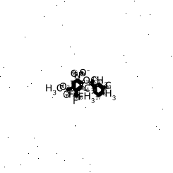 COC(=O)c1cc([N+](=O)[O-])c(OC(C)(C)c2cccc(C)c2)cc1C(F)(F)F